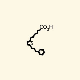 O=C(O)CCCCC=Cc1ccc(CCCc2ccccc2)s1